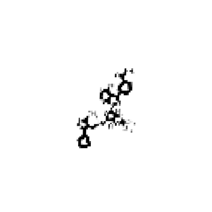 Cc1noc(-c2ccccc2)c1CSC[C@H]1O[C@@H](n2nc(-c3cccc(C(N)=O)c3)c3c(N)ncnc32)[C@@H]2OC(C)(C)O[C@@H]21